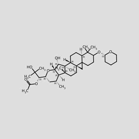 CC(=O)O[C@@H]([C@H]1C[C@@H](C)[C@H]2[C@H](O1)[C@H](O)[C@@]1(C)[C@@H]3CC[C@H]4C(C)(C)C(O[C@H]5CCCCO5)CCC45C[C@@]35CC[C@]21C)C(C)(C)O